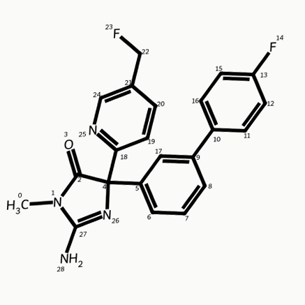 CN1C(=O)C(c2cccc(-c3ccc(F)cc3)c2)(c2ccc(CF)cn2)N=C1N